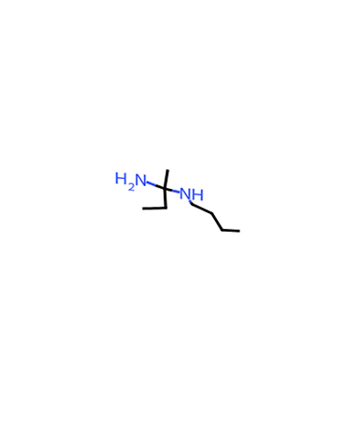 CCCCNC(C)(N)CC